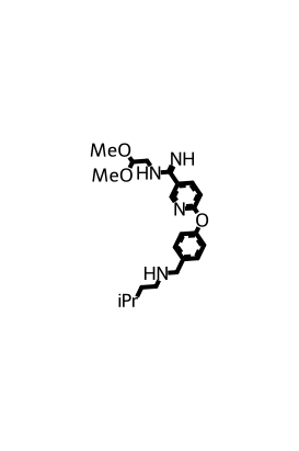 COC(CNC(=N)c1ccc(Oc2ccc(CNCCC(C)C)cc2)nc1)OC